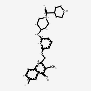 Cc1c(COc2cccc(OC3CCN(C(=O)C4CCOCC4)CC3)c2)[nH]c2ccc(F)cc2c1=O